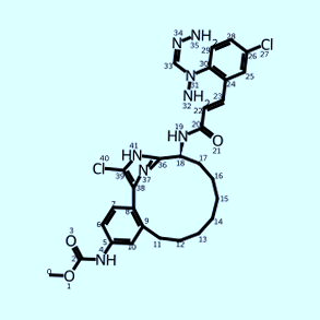 COC(=O)Nc1ccc2c(c1)CCCCCCC[C@H](NC(=O)/C=C/c1cc(Cl)ccc1N(N)/C=N\N)c1nc-2c(Cl)[nH]1